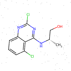 C[C@@H](CO)Nc1nc(Cl)nc2cccc(Cl)c12